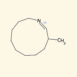 CC1/C=N\CCCCCCCC1